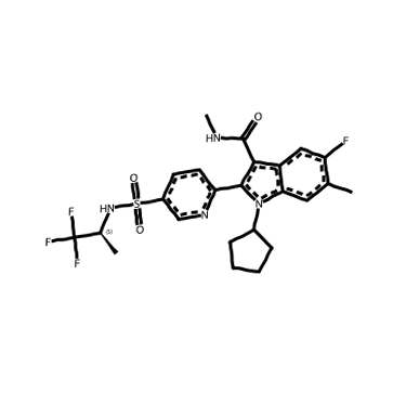 CNC(=O)c1c(-c2ccc(S(=O)(=O)N[C@@H](C)C(F)(F)F)cn2)n(C2CCCC2)c2cc(C)c(F)cc12